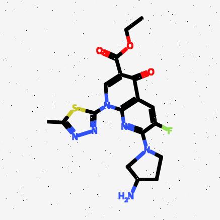 CCOC(=O)c1cn(-c2nnc(C)s2)c2nc(N3CCC(N)C3)c(F)cc2c1=O